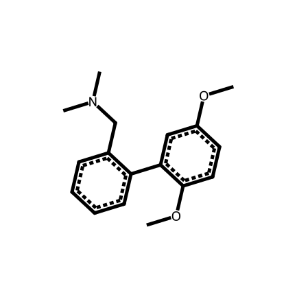 COc1ccc(OC)c(-c2ccccc2CN(C)C)c1